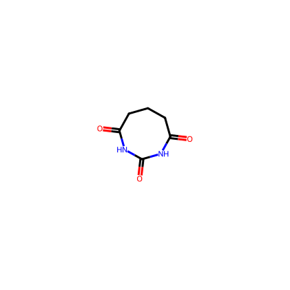 O=C1CCCC(=O)NC(=O)N1